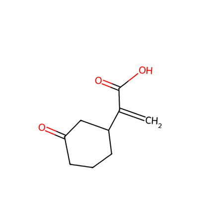 C=C(C(=O)O)C1CCCC(=O)C1